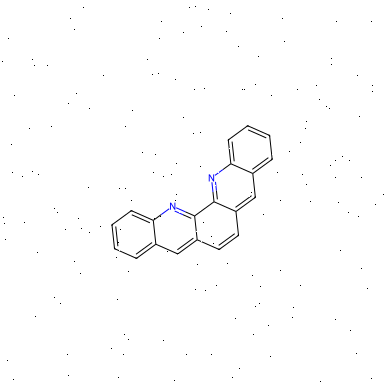 c1ccc2nc3c(ccc4cc5ccccc5nc43)cc2c1